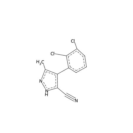 Cc1n[nH]c(C#N)c1-c1cccc(Cl)c1Cl